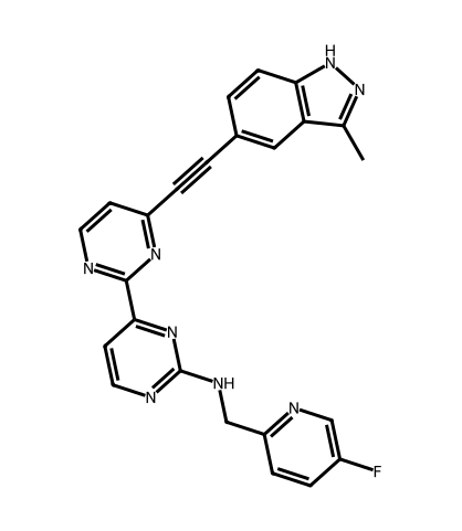 Cc1n[nH]c2ccc(C#Cc3ccnc(-c4ccnc(NCc5ccc(F)cn5)n4)n3)cc12